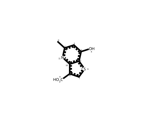 Cc1cc(O)c2scc(C(=O)O)c2n1